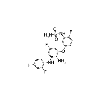 Nc1c(Nc2ccc(I)cc2F)cc(F)cc1Oc1ccc(F)c(NS(N)(=O)=O)c1